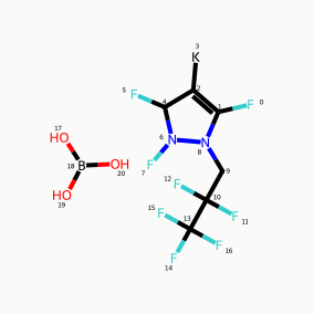 FC1=[C]([K])C(F)N(F)N1CC(F)(F)C(F)(F)F.OB(O)O